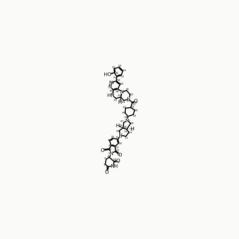 O=C1CCC(N2C(=O)c3ccc(N4CC[C@@H]5CN(C6CCC(C(=O)N7CCN8c9cc(-c%10ccccc%10O)nnc9NC[C@H]8C7)CC6)C[C@H]5C4)cc3C2=O)C(=O)N1